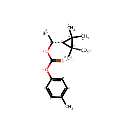 Cc1ccc(OC(=S)OC(C(C)C)[C@@H]2C(C)(C)[C@@]2(C)C(=O)O)cc1